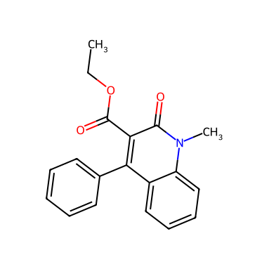 CCOC(=O)c1c(-c2ccccc2)c2ccccc2n(C)c1=O